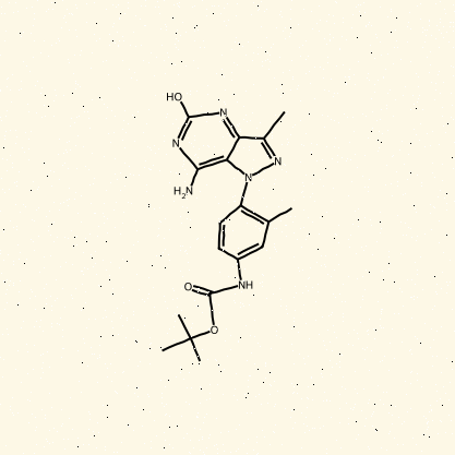 Cc1cc(NC(=O)OC(C)(C)C)ccc1-n1nc(C)c2nc(O)nc(N)c21